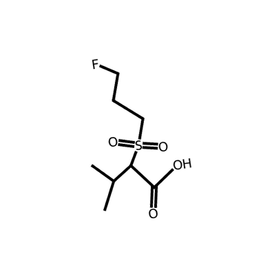 CC(C)C(C(=O)O)S(=O)(=O)CCCF